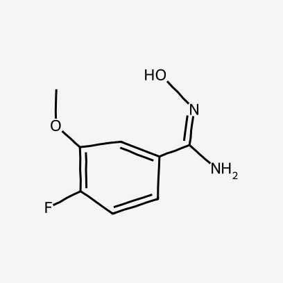 COc1cc(/C(N)=N\O)ccc1F